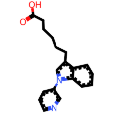 O=C(O)CCCCCc1cn(-c2cccnc2)c2ccccc12